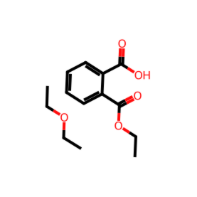 CCOC(=O)c1ccccc1C(=O)O.CCOCC